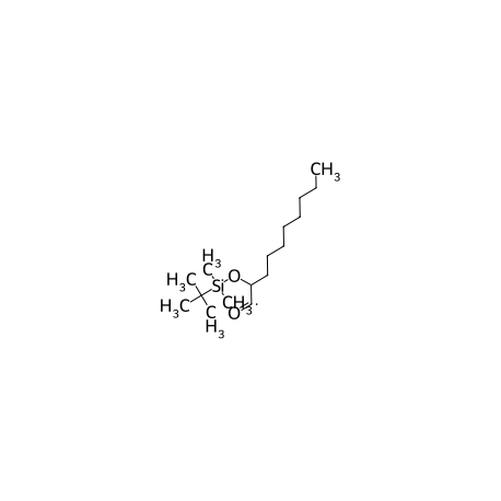 CCCCCCCCC([C]=O)O[Si](C)(C)C(C)(C)C